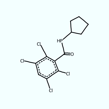 O=C(PC1CCCC1)c1c(Cl)c(Cl)cc(Cl)c1Cl